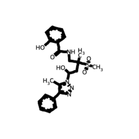 Cc1c(-c2ccccc2)nnn1C(O)CC(C)(CNC(=O)c1ccccc1O)S(C)(=O)=O